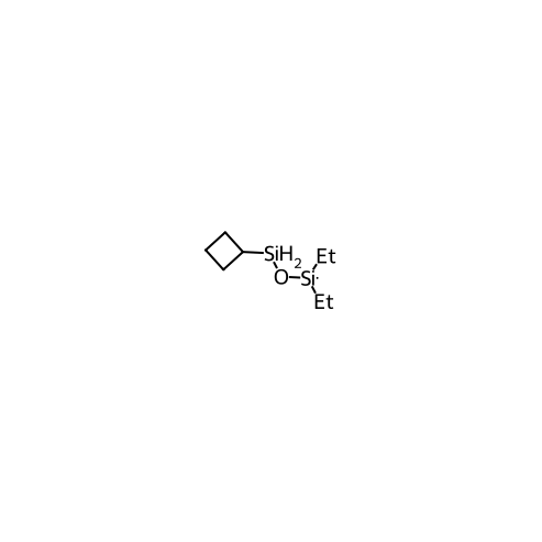 CC[Si](CC)O[SiH2]C1CCC1